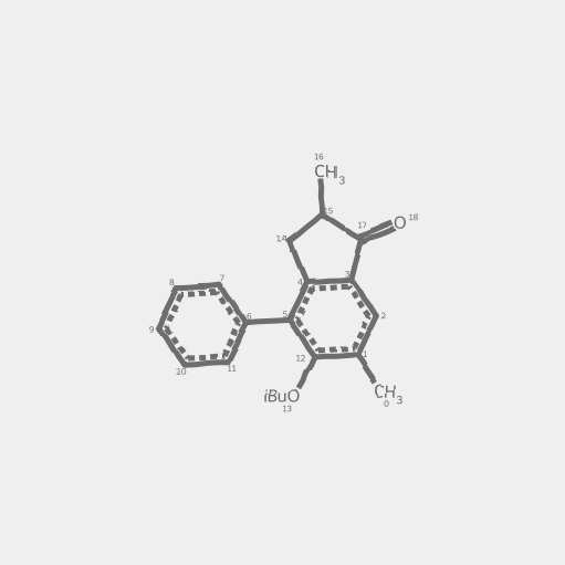 Cc1cc2c(c(-c3ccccc3)c1OCC(C)C)CC(C)C2=O